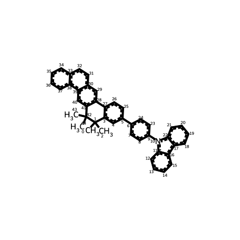 CC1(C)c2cc(-c3ccc(-n4c5ccccc5c5ccccc54)cc3)ccc2-c2cc3ccc4ccccc4c3cc2C1(C)C